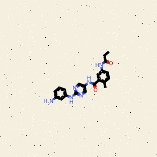 CCC(=O)Nc1ccc(C)c(C(=O)Nc2cnc(Nc3cccc(N)c3)nc2)c1